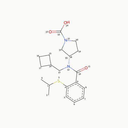 CC(C)Sc1ccccc1C(=O)N(CC1CCC1)[C@H]1CCN(C(=O)O)C1